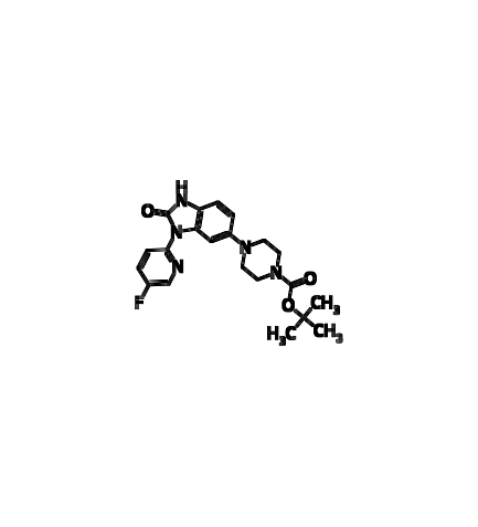 CC(C)(C)OC(=O)N1CCN(c2ccc3[nH]c(=O)n(-c4ccc(F)cn4)c3c2)CC1